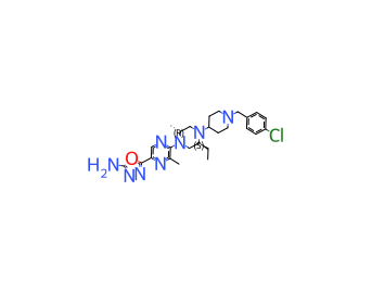 CC[C@H]1CN(c2ncc(-c3nnc(N)o3)nc2C)[C@H](C)CN1C1CCN(Cc2ccc(Cl)cc2)CC1